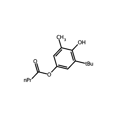 CCCC(=O)Oc1cc(C)c(O)c(C(C)(C)C)c1